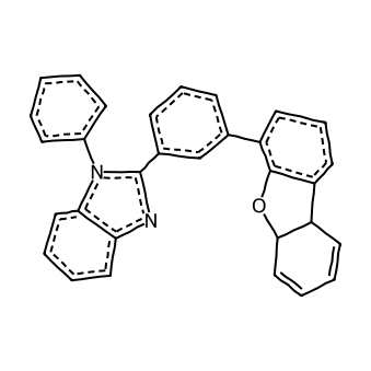 C1=CC2Oc3c(-c4cccc(-c5nc6ccccc6n5-c5ccccc5)c4)cccc3C2C=C1